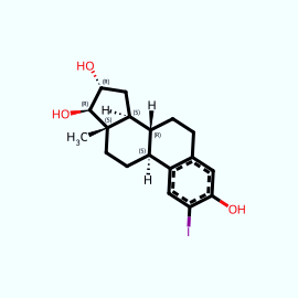 C[C@]12CC[C@@H]3c4cc(I)c(O)cc4CC[C@H]3[C@@H]1C[C@@H](O)[C@@H]2O